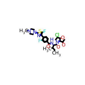 CCC(C)C(NC(=O)c1ccc(-c2nc(N3CCN(C)CC3)sc2F)c(F)c1)C(=O)N1CC(Cl)C2OCC(=O)C21